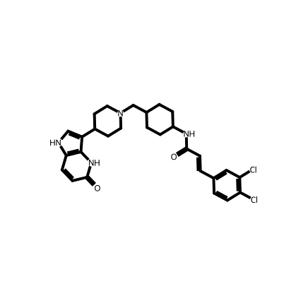 O=C(/C=C/c1ccc(Cl)c(Cl)c1)NC1CCC(CN2CCC(c3c[nH]c4ccc(=O)[nH]c34)CC2)CC1